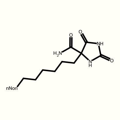 CCCCCCCCCCCCCCCC1(C(N)=O)NC(=O)NC1=O